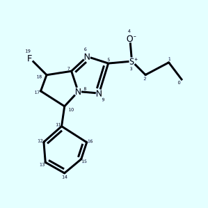 CCC[S+]([O-])c1nc2n(n1)C(c1ccccc1)CC2F